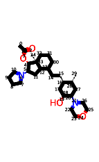 CC(=O)O[C@H]1[C@@H](N2CCCC2)CC2C(CC[C@H]3C[C@H](O)[C@@H](N4CCOCC4)C[C@H]3C)CCC[C@@]21C